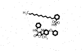 CC1(c2ccc(Oc3ccccc3)cc2)OC(=O)N(Nc2ccccc2)C1=N.CCCCCCCCCCCCc1ccccc1S(=O)(=O)O